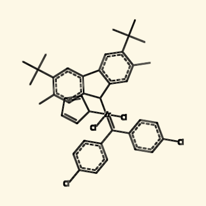 Cc1cc2c(cc1C(C)(C)C)-c1cc(C(C)(C)C)c(C)cc1[CH]2[Zr]([Cl])([Cl])(=[C](c1ccc(Cl)cc1)c1ccc(Cl)cc1)[CH]1C=CC=C1